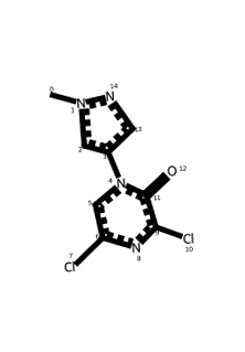 Cn1cc(-n2cc(Cl)nc(Cl)c2=O)cn1